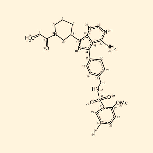 C=CC(=O)N1CCCC(n2nc(-c3ccc(CNS(=O)(=O)c4cc(F)ccc4OC)cc3)c3c(N)ncnc32)C1